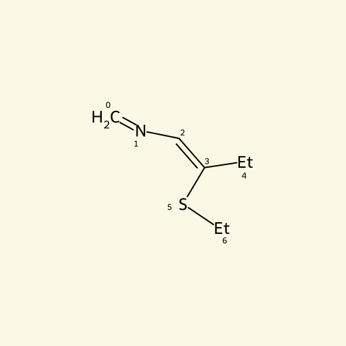 C=N/C=C(/CC)SCC